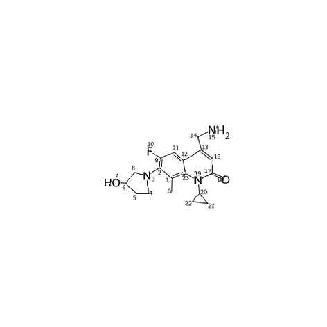 Cc1c(N2CCC(O)C2)c(F)cc2c(CN)cc(=O)n(C3CC3)c12